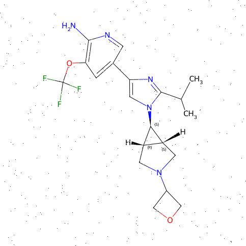 CC(C)c1nc(-c2cnc(N)c(OC(F)(F)F)c2)cn1[C@H]1[C@@H]2CN(C3COC3)C[C@@H]21